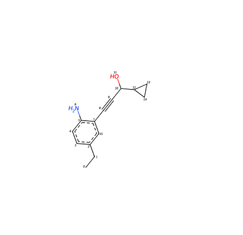 CCc1ccc(N)c(C#CC(O)C2CC2)c1